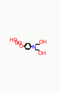 OCCN(CCO)c1ccc(OOOO)cc1